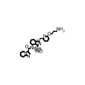 CCc1nn(Cc2cccc(OCCCN)n2)c2cccc(NC(=O)c3cnc4ccccn34)c12.Cl.Cl